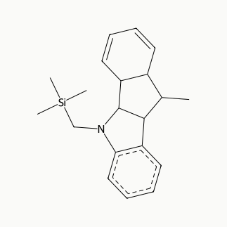 CC1C2C=CC=CC2C2C1c1ccccc1N2C[Si](C)(C)C